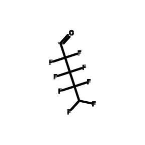 O=[C]C(F)(F)C(F)(F)C(F)(F)C(F)F